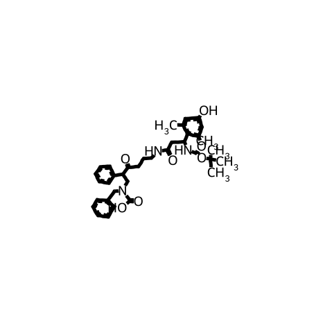 Cc1cc(O)cc(C)c1C(CC(=O)NCCCC(=O)C(CN(Cc1ccccc1)C(=O)O)c1ccccc1)NC(=O)OC(C)(C)C